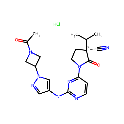 CC(=O)N1CC(n2cc(Nc3nccc(N4CC[C@@](C#N)(C(C)C)C4=O)n3)cn2)C1.Cl